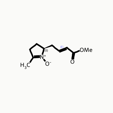 COC(=O)/C=C/C[C@@H]1CCC(C)=[N+]1[O-]